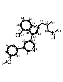 COc1cccc(-c2cncc(-c3cn(CC(C)CN(C)C)c4cccc(Cl)c34)c2)c1